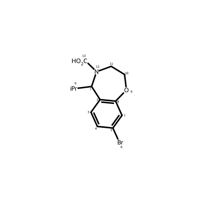 CC(C)C1c2ccc(Br)cc2OCCN1C(=O)O